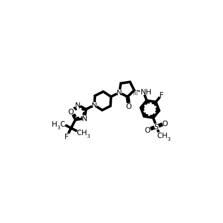 CC(C)(F)c1nc(N2CCC(N3CC[C@H](Nc4ccc(S(C)(=O)=O)cc4F)C3=O)CC2)no1